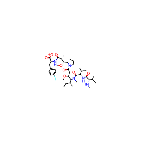 CC[C@H](C)C(C(CC(=O)N1CCC[C@H]1[C@H](OC)[C@@H](C)C(=O)NC(Cc1ccc(F)cc1)C(=O)O)OC)N(C)C(=O)[C@@H](NC(=O)[C@@H](NC)C(C)C)C(C)C